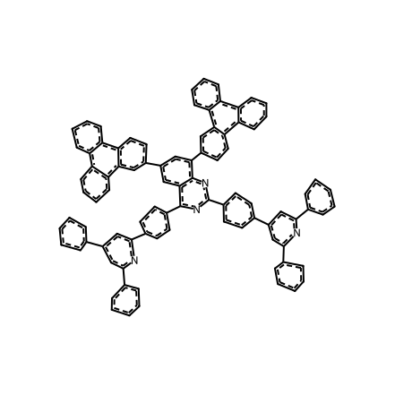 c1ccc(-c2cc(-c3ccccc3)nc(-c3ccc(-c4nc(-c5ccc(-c6cc(-c7ccccc7)nc(-c7ccccc7)c6)cc5)nc5c(-c6ccc7c8ccccc8c8ccccc8c7c6)cc(-c6ccc7c8ccccc8c8ccccc8c7c6)cc45)cc3)c2)cc1